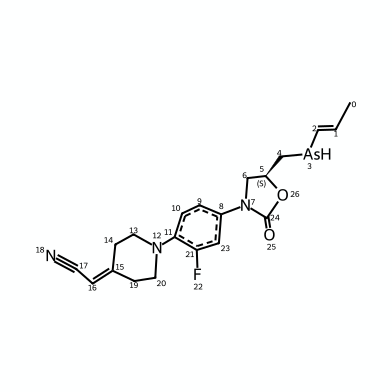 CC=C[AsH]C[C@@H]1CN(c2ccc(N3CCC(=CC#N)CC3)c(F)c2)C(=O)O1